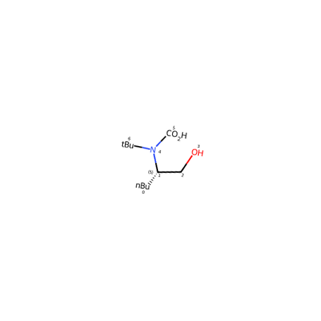 CCCC[C@@H](CO)N(C(=O)O)C(C)(C)C